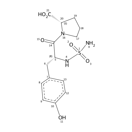 NS(=O)(=O)N[C@H](Cc1ccc(O)cc1)C(=O)N1CCC[C@H]1C(=O)O